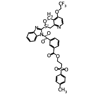 Cc1ccc(S(=O)(=O)CCOC(=O)c2cccc(S(=O)(=O)n3c([S+]([O-])Cc4nccc(OCC(F)(F)F)c4C)nc4ccccc43)c2)cc1